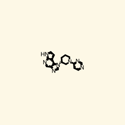 c1cc(N2CCC[C@@H](n3cnc4cnc5[nH]ccc5c43)C2)ncn1